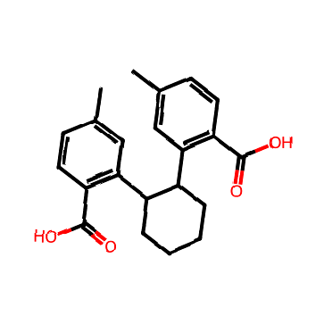 Cc1ccc(C(=O)O)c(C2CCCCC2c2cc(C)ccc2C(=O)O)c1